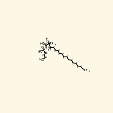 CCCCCCCCCCCCCCCC(=O)C(C)(O)C(O)OP(=O)(O)NCCO